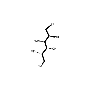 OC[C@@H](O)[C@@H](O)[C@H](O)[C@@H]([18F])CO